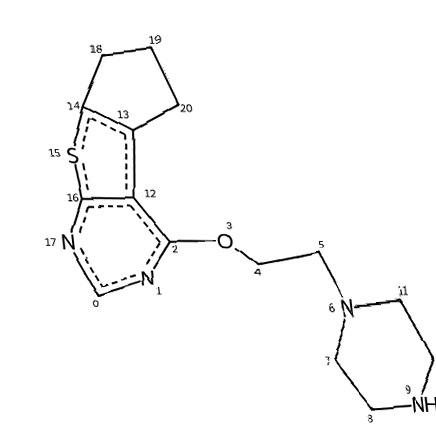 c1nc(OCCN2CCNCC2)c2c3c(sc2n1)CCC3